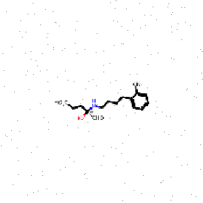 N#Cc1ccccc1CCCCN[C@](O)(C=O)CCC(=O)O